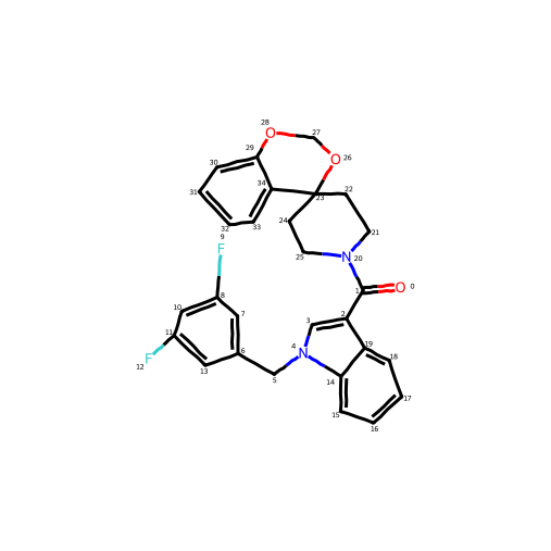 O=C(c1cn(Cc2cc(F)cc(F)c2)c2ccccc12)N1CCC2(CC1)OCOc1ccccc12